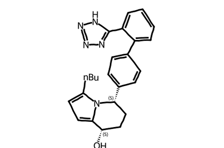 CCCCc1ccc2n1[C@H](c1ccc(-c3ccccc3-c3nnn[nH]3)cc1)CC[C@@H]2O